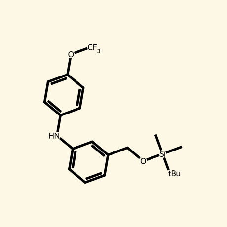 CC(C)(C)[Si](C)(C)OCc1cccc(Nc2ccc(OC(F)(F)F)cc2)c1